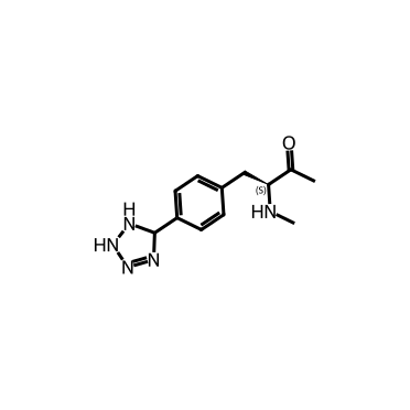 CN[C@@H](Cc1ccc(C2N=NNN2)cc1)C(C)=O